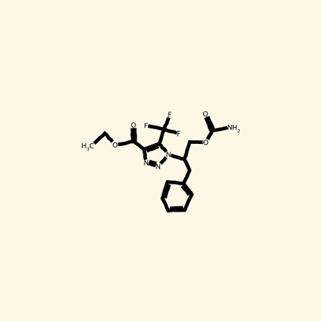 CCOC(=O)c1nnn(C(COC(N)=O)Cc2ccccc2)c1C(F)(F)F